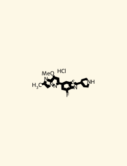 COc1cc(-c2cc(F)c3nc(C4=CCNCC4)sc3c2)nn2cc(C)nc12.Cl